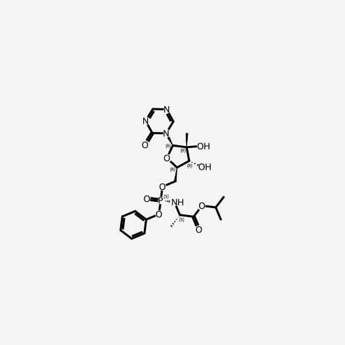 CC(C)OC(=O)[C@H](C)N[P@](=O)(OC[C@H]1O[C@@H](n2cncnc2=O)[C@](C)(O)[C@@H]1O)Oc1ccccc1